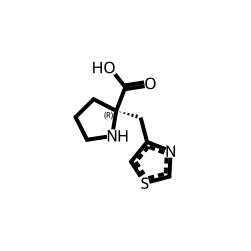 O=C(O)[C@]1(Cc2cscn2)CCCN1